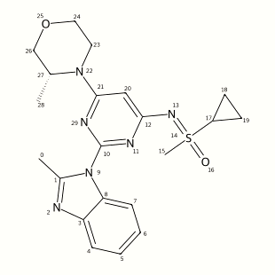 Cc1nc2ccccc2n1-c1nc(N=S(C)(=O)C2CC2)cc(N2CCOC[C@H]2C)n1